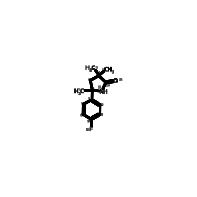 CC1(C)CC(C)(c2ccc(F)cc2)NC1=O